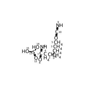 C.C.C.C.C.C.N=C=O.N=C=O.O=S(O)O